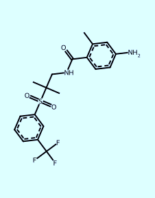 Cc1cc(N)ccc1C(=O)NCC(C)(C)S(=O)(=O)c1cccc(C(F)(F)F)c1